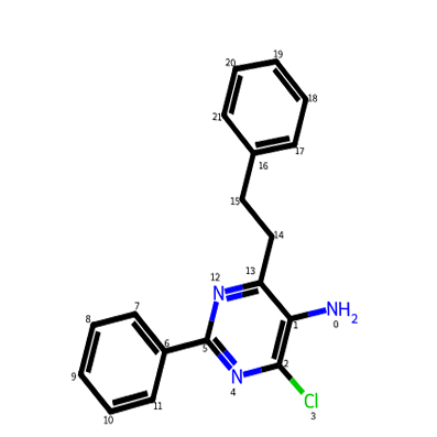 Nc1c(Cl)nc(-c2ccccc2)nc1CCc1ccccc1